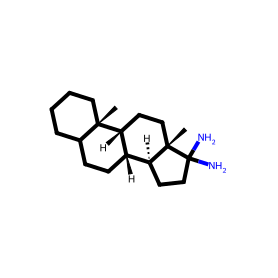 C[C@]12CCCCC1CC[C@@H]1[C@H]2CC[C@@]2(C)[C@H]1CCC2(N)N